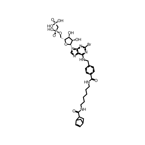 O=C(NCCCCCCNC(=O)C1CC2C=CC1C2)c1ccc(CNc2nc(Br)nc3c2ncn3[C@@H]2O[C@H](COP(=O)(O)CP(=O)(O)O)[C@@H](O)[C@H]2O)cc1